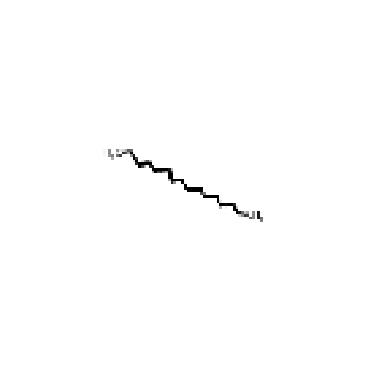 [CH2]CCCCCC=CCC=CCC=CCC